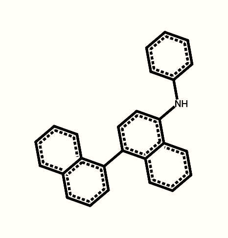 c1ccc(Nc2ccc(-c3cccc4ccccc34)c3ccccc23)cc1